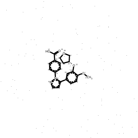 COc1ccc(-c2ccnn2-c2ccc(C(=O)O)cc2)cc1O[C@@H]1CCOC1